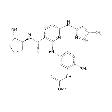 COC(=O)Nc1cc(Nc2nc(Nc3cc(C)[nH]n3)cnc2C(=O)N[C@H]2CCC[C@@H]2O)ccc1C